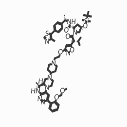 COCOc1ccccc1-c1cc2c(nn1)N[C@@H](C)[C@@H]1CN(C3CCN(CCOc4cc([C@H](C(=O)N5C[C@H](O[Si](C)(C)C(C)(C)C)C[C@H]5C(=O)N[C@@H](C)c5ccc(-c6scnc6C)cc5)C(C)C)on4)CC3)CCN21